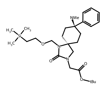 CN[C@]1(c2ccccc2)CC[C@]2(CC1)CN(CC(=O)OC(C)(C)C)C(=O)N2COCC[Si](C)(C)C